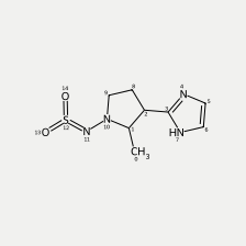 CC1C(c2ncc[nH]2)CCN1N=S(=O)=O